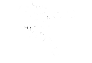 CC1(C)c2ccccc2-c2cc3c(cc21)-c1c(N(c2ccccc2)c2ccc(-c4ccccc4)cc2)ccc(N(c2ccccc2)c2ccc(-c4ccccc4)cc2)c1C3(C)C